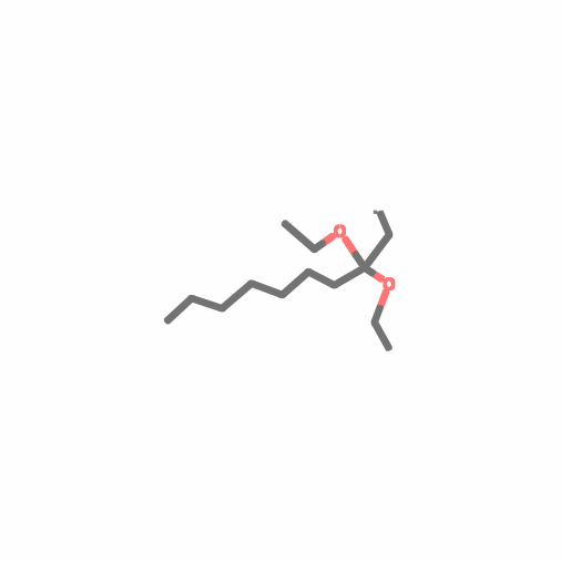 [CH2]CC(CCCCCCC)(OCC)OCC